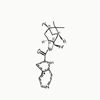 C[C@@H]1[C@@H](NC(=O)c2cc3ccncc3[nH]2)C[C@H]2C[C@@H]1C2(C)C